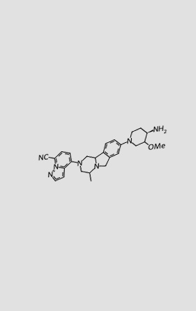 COC1CN(c2ccc3c(c2)CN2C(C)CN(c4ccc(C#N)n5nccc45)CC32)CC[C@H]1N